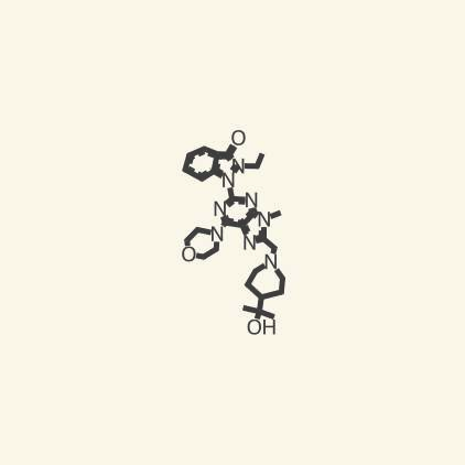 CCn1c(=O)c2ccccc2n1-c1nc(N2CCOCC2)c2nc(CN3CCC(C(C)(C)O)CC3)n(C)c2n1